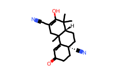 CC1(C)C(O)=C(C#N)CC2(C)C3=CC(=O)CC[C@]3(C#N)CC[C@@H]12